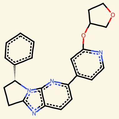 c1ccc([C@H]2CCc3nc4ccc(-c5ccnc(OC6CCOC6)c5)nc4n32)cc1